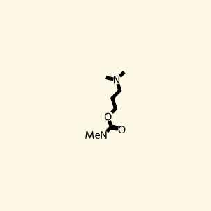 CNC(=O)OCCCN(C)C